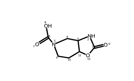 O=C1NC2CN(C(=O)O)CCC2O1